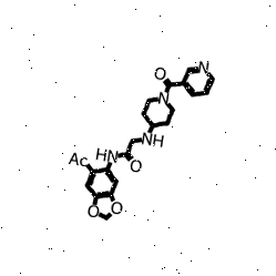 CC(=O)c1cc2c(cc1NC(=O)CNC1CCN(C(=O)c3cccnc3)CC1)OCO2